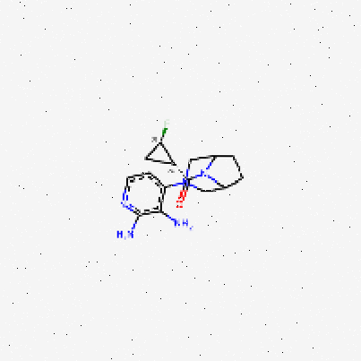 Nc1nccc(N2CC3CCC(C2)N3C(=O)[C@@H]2C[C@H]2F)c1N